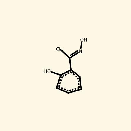 ON=C(Cl)c1ccccc1O